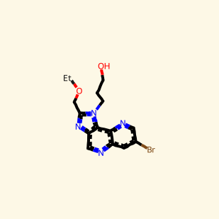 CCOCc1nc2cnc3cc(Br)cnc3c2n1CCCO